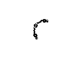 COc1ccc(C=CCCCN2CCN(CCCC=Cc3ccc(OC)cc3)CC2)cc1